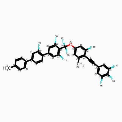 Cc1ccc(-c2ccc(-c3cc(F)c(C(F)(F)Oc4cc(C)c(C#Cc5cc(F)c(F)c(F)c5)c(F)c4)c(F)c3)c(F)c2)cc1